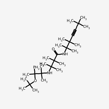 CC(C)(C)C#CC(C)(C)C(C)(C)NC(=O)C(C)(C)C(C)(C)NC(C)(C)C(C)(P)OC(C)(C)C